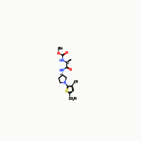 CCOC(=O)c1cc(C#N)c(N2CC[C@H](NC(=O)[C@H](C)NC(=O)OC(C)(C)C)C2)s1